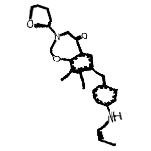 C/C=C\Nc1ccc(Cc2cc3c(c(C)c2C)OCN(C2CCCOC2)CC3=O)cc1